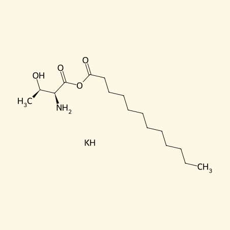 CCCCCCCCCCCC(=O)OC(=O)[C@@H](N)[C@@H](C)O.[KH]